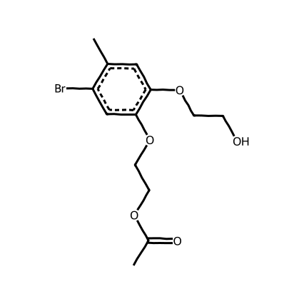 CC(=O)OCCOc1cc(Br)c(C)cc1OCCO